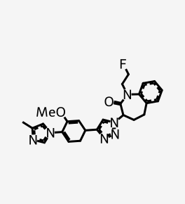 COC1=CC(c2cn(C3CCc4ccccc4N(CCF)C3=O)nn2)CC=C1n1cnc(C)c1